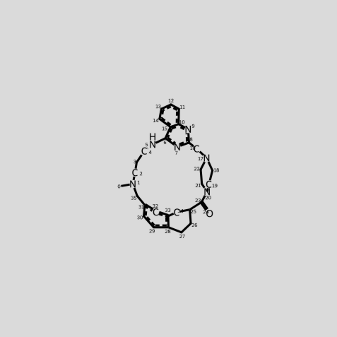 CN1CCCNc2nc(nc3ccccc23)CN2CCN(CC2)C(=O)C2CCc3ccc(cc3C2)C1